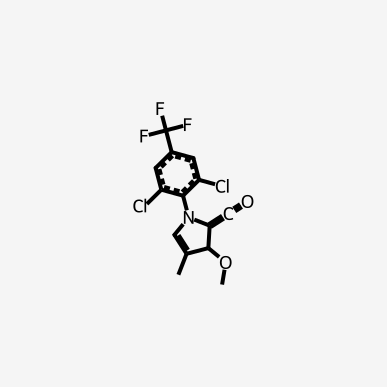 COC1C(=C=O)N(c2c(Cl)cc(C(F)(F)F)cc2Cl)C=C1C